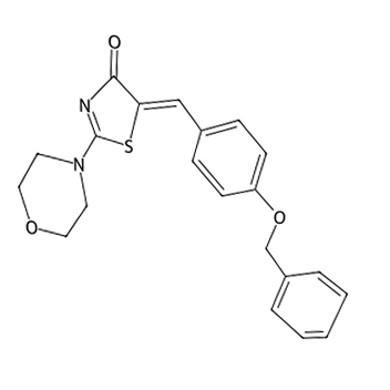 O=C1N=C(N2CCOCC2)SC1=Cc1ccc(OCc2ccccc2)cc1